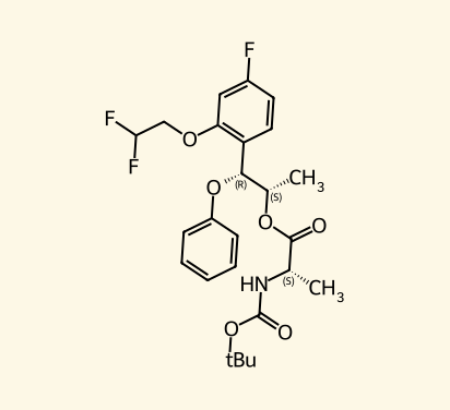 C[C@H](NC(=O)OC(C)(C)C)C(=O)O[C@@H](C)[C@H](Oc1ccccc1)c1ccc(F)cc1OCC(F)F